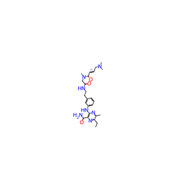 CCc1nc(C(N)=O)c(Nc2cccc(CCNC(=O)CN(C)C(=O)/C=C/CN(C)C)c2)nc1C